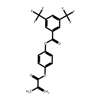 C=C(C)C(=O)Oc1ccc(OC(=O)c2cc(C(F)(F)F)cc(C(F)(F)F)c2)cc1